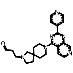 O=CCCN1CCC2(CCN(c3nc(-c4ccncc4)nc4cnccc34)CC2)C1